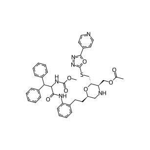 COC(=O)NC(C(=O)Nc1ccccc1CC[C@@H]1CN[C@H](COC(C)=O)[C@@H](CSc2nnc(-c3ccncc3)o2)O1)C(c1ccccc1)c1ccccc1